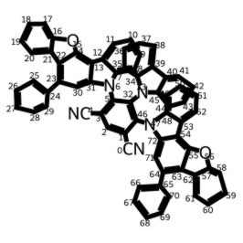 N#Cc1cc(C#N)c(-n2c3ccccc3c3c4oc5ccccc5c4c(-c4ccccc4)cc32)c(-n2c3ccccc3c3ccccc32)c1-n1c2ccccc2c2c3oc4ccccc4c3c(-c3ccccc3)cc21